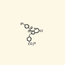 CC(C)c1ccc(S(=O)(=O)n2c(Cc3ccc(C(=O)O)cc3)cc3cc(Cl)cnc32)cc1